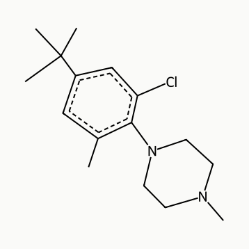 Cc1cc(C(C)(C)C)cc(Cl)c1N1CCN(C)CC1